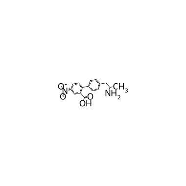 CC(N)Cc1ccc(-c2ccc([N+](=O)[O-])cc2C(=O)O)cc1